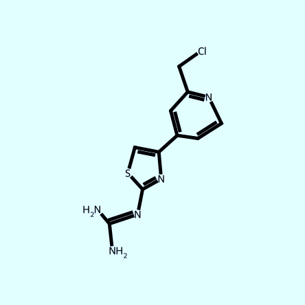 NC(N)=Nc1nc(-c2ccnc(CCl)c2)cs1